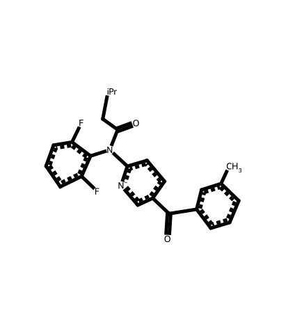 Cc1cccc(C(=O)c2ccc(N(C(=O)CC(C)C)c3c(F)cccc3F)nc2)c1